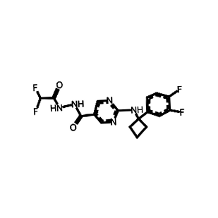 O=C(NNC(=O)C(F)F)c1cnc(NC2(c3ccc(F)c(F)c3)CCC2)nc1